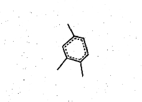 Cc1[c]cc(C)c(C)c1